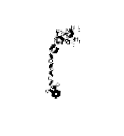 COc1nc(N2CCN(CCOCCOCCOCCN3C(=O)c4ccccc4C3=O)CC2)nc(OC)c1Sc1nc(N)cc(N)n1